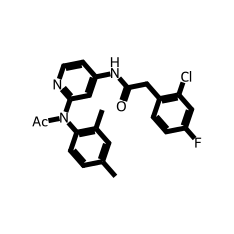 CC(=O)N(c1cc(NC(=O)Cc2ccc(F)cc2Cl)ccn1)c1ccc(C)cc1C